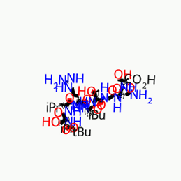 CC[C@H](C)[C@H](NC(=O)[C@@H](CCCNC(=N)N)NC(=O)[C@H](CC(C)C)NC(=O)[C@@H](NC(=O)OC(C)(C)C)[C@H](O)C(C)C)C(=O)N[C@H](C(=O)NCC(=O)N[C@@H](CC(N)=O)C(=O)N[C@@H](CO)C(=O)O)[C@H](C)O